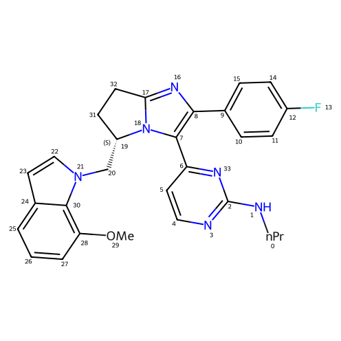 CCCNc1nccc(-c2c(-c3ccc(F)cc3)nc3n2[C@H](Cn2ccc4cccc(OC)c42)CC3)n1